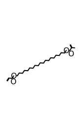 C=CC(=O)OCCCCCCCCCCCCCCCCCCCOC(=O)C(=C)C